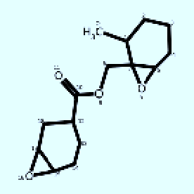 CC1CCCC2OC12COC(=O)C1CCC2OC2C1